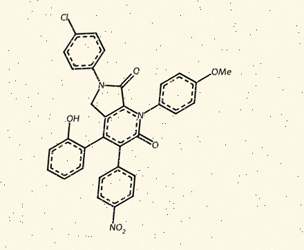 COc1ccc(-n2c3c(c(-c4ccccc4O)c(-c4ccc([N+](=O)[O-])cc4)c2=O)CN(c2ccc(Cl)cc2)C3=O)cc1